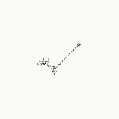 CCOP(=O)(C[C@H](O)CNCC1CNc2c1nc(O)[nH]c2=O)OCCCCCCCCCCCCCCCCCCCCCO